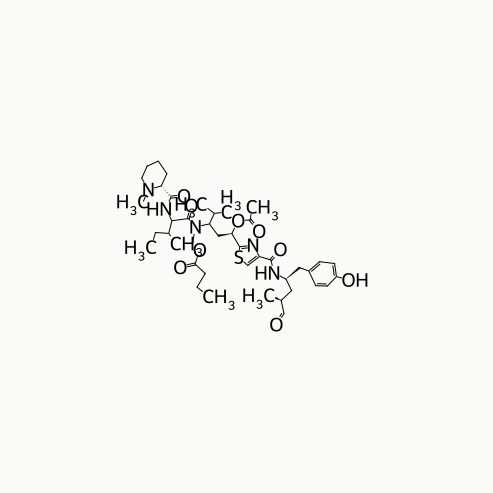 CCCC(=O)OCN(C(=O)C(NC(=O)[C@H]1CCCCN1C)C(C)CC)C(C[C@@H](OC(C)=O)c1nc(C(=O)N[C@@H](Cc2ccc(O)cc2)C[C@H](C)C=O)cs1)C(C)C